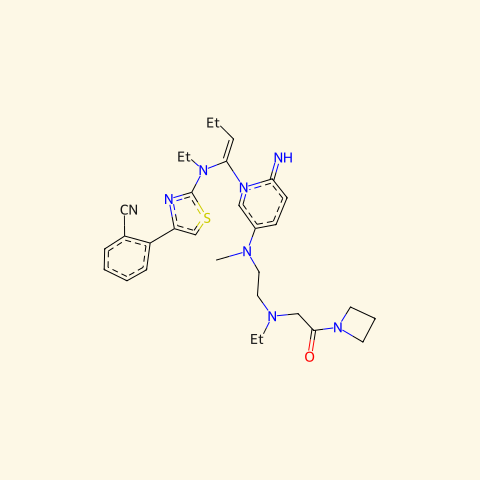 CC/C=C(\N(CC)c1nc(-c2ccccc2C#N)cs1)n1cc(N(C)CCN(CC)CC(=O)N2CCC2)ccc1=N